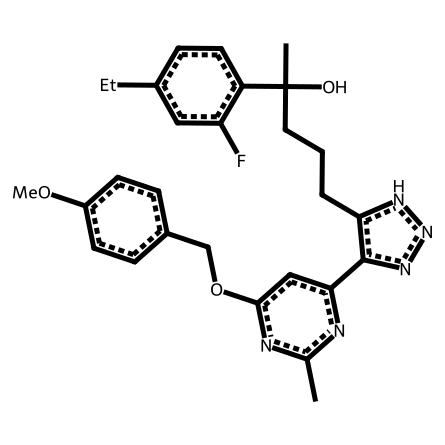 CCc1ccc(C(C)(O)CCCc2[nH]nnc2-c2cc(OCc3ccc(OC)cc3)nc(C)n2)c(F)c1